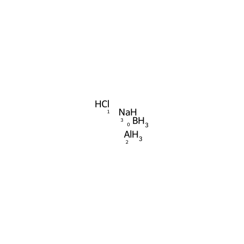 B.Cl.[AlH3].[NaH]